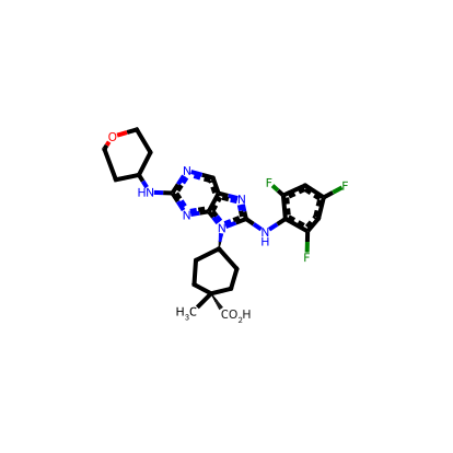 C[C@]1(C(=O)O)CC[C@@H](n2c(Nc3c(F)cc(F)cc3F)nc3cnc(NC4CCOCC4)nc32)CC1